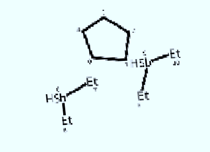 C1CCCC1.C[CH2][SbH][CH2]C.C[CH2][SbH][CH2]C